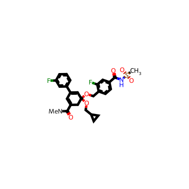 CNC(=O)C1=CC(c2cccc(F)c2)=CC(OCc2ccc(C(=O)NS(C)(=O)=O)cc2F)(OCC2CC2)C1